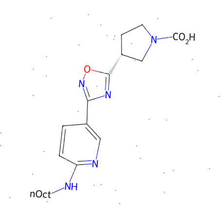 CCCCCCCCNc1ccc(-c2noc([C@@H]3CCN(C(=O)O)C3)n2)cn1